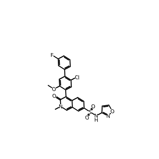 COc1cc(-c2cccc(F)c2)c(Cl)cc1-c1c(=O)n(C)cc2cc(S(=O)(=O)Nc3ccon3)ccc12